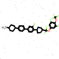 CC1CCC(c2ccc(-c3ccc(C4CCC(C(F)(F)Oc5cc(F)c(OC(F)(F)F)c(F)c5)CC4)c(F)c3)cc2)CC1